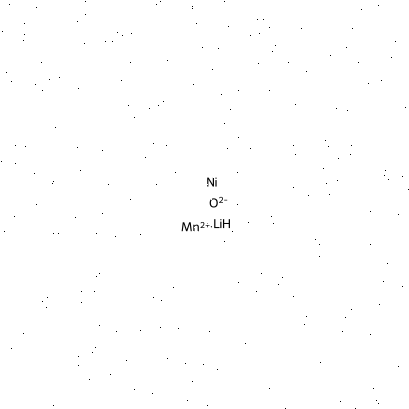 [LiH].[Mn+2].[Ni].[O-2]